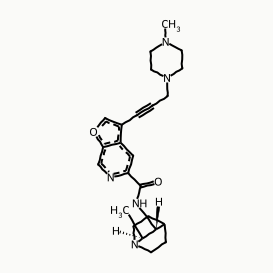 C[C@H]1[C@H](NC(=O)c2cc3c(C#CCN4CCN(C)CC4)coc3cn2)C2CCN1CC2